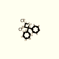 Cl[C@@H]1SC(c2ccccc2)(c2ccccc2)[C@@H]1Cl